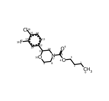 CCCCOC(=O)N1CCOC(c2ccc(Cl)c(F)c2)C1